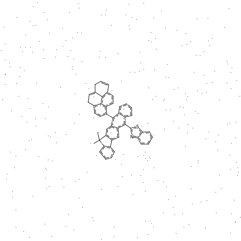 CC1(C)c2ccccc2-c2cc3c(-c4nc5ccccc5s4)c4ccccc4c(-c4ccc5c6c7c(ccc46)C=CCC7=CC5)c3cc21